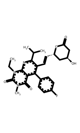 CCn1c(=O)n(C)c(=O)c2c(-c3ccc(F)cc3)c(C=C[C@H]3C[C@H](O)CC(=O)O3)c(C(C)C)nc21